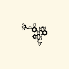 CN(C)CC(=O)n1cccc1COc1cccc2ncnc(Nc3ccc(OCc4cscn4)c(Cl)c3)c12